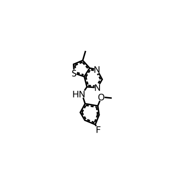 COc1cc(F)ccc1Nc1ncnc2c(C)csc12